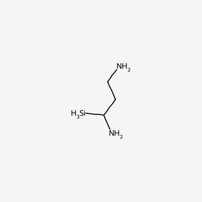 NCCC(N)[SiH3]